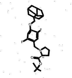 CC(C)(C)OC(=O)[C@@H]1CCCN1Cc1cc(F)c(OCC23CC4CC(CC(C4)C2)C3)cc1F